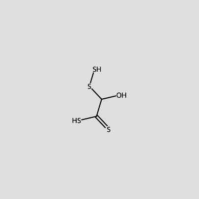 OC(SS)C(=S)S